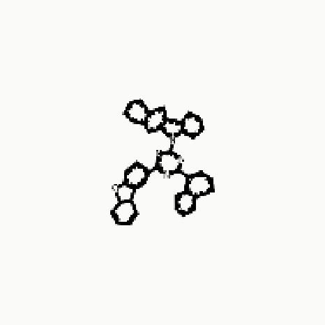 C1=CC2Oc3ccc(-c4nc(-c5cccc6ccccc56)nc(-n5c6ccccc6c6cc7ccccc7cc65)n4)cc3C2C=C1